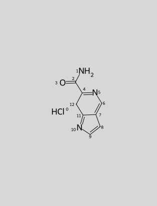 Cl.NC(=O)C1=NC=C2C=CN=C2C1